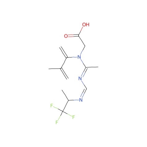 C=C(C)C(=C)N(CC(=O)O)/C(C)=N/C=N\C(C)C(F)(F)F